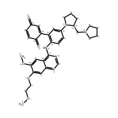 COCCOc1cc2ncnc(Nc3ccc(N4CCC[C@H]4CN4CCCC4)cc3C3=CC(=O)C=CC3=O)c2cc1OC